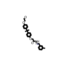 Cc1cccc(/C=N/NC(=O)COc2ccc(C(C)(C)c3ccc(OCC=O)cc3)cc2)c1